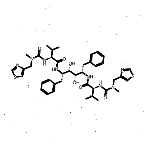 CC(C)[C@H](NC(=O)N(C)Cc1cscn1)C(=O)N[C@@H](Cc1ccccc1)[C@H](O)[C@@H](O)[C@H](Cc1ccccc1)NC(=O)[C@@H](NC(=O)N(C)Cc1cscn1)C(C)C